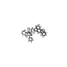 C1=CC2SC3C(c4ccccc4)N=C(C4C=CC5=C(C4)c4cc6c7ccccc7oc6c6cccc5c46)NC3C2C=C1